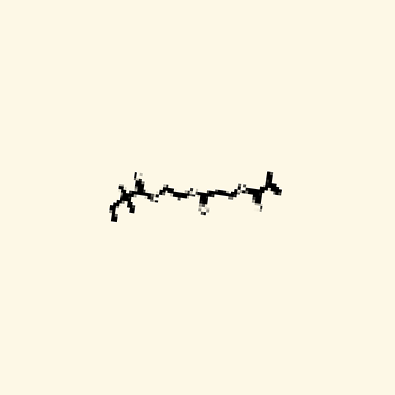 C=C(C)C(=O)OCCC(=O)OCCOC(=O)C(C)(C)CC